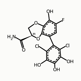 NC(=O)[C@H]1COc2c(O)c(F)cc(-c3c(Cl)c(O)c(O)c(O)c3Cl)c2O1